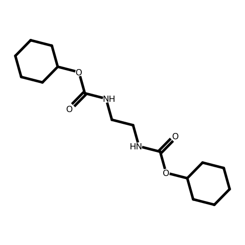 O=C(NCCNC(=O)OC1CCCCC1)OC1CCCCC1